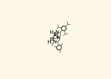 Cc1cc(C)c(C(N)C[N](CC(N)c2c(C(C)C)cc(C(C)C)cc2C(C)C)[Co]([Br])[Br])c(C)c1